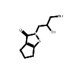 O=c1c2c(sn1CC(O)CO)CCC2